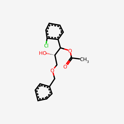 CC(=O)OC(c1ccccc1Cl)[C@@H](O)COCc1ccccc1